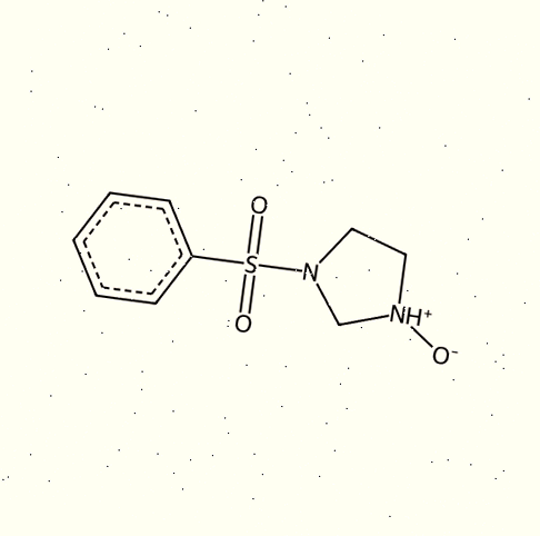 O=S(=O)(c1ccccc1)N1CC[NH+]([O-])C1